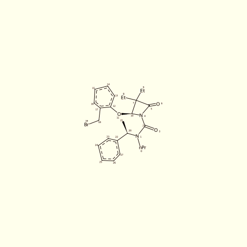 CCCN(C(=O)N1C(=O)C(CC)(CC)[C@@H]1Oc1ccccc1CBr)[C@H](C)c1ccccc1